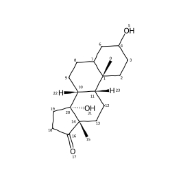 C[C@]12CCC(O)CC1CC[C@@H]1[C@H]2CC[C@]2(C)C(=O)CC[C@@]12O